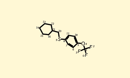 FC(F)(F)Oc1ccc(SCC2CCCCC2)cc1